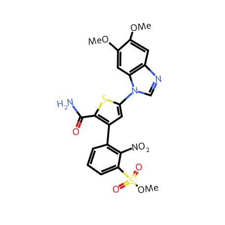 COc1cc2ncn(-c3cc(-c4cccc(S(=O)(=O)OC)c4[N+](=O)[O-])c(C(N)=O)s3)c2cc1OC